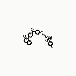 Cc1ccc(S(=O)(=O)NCCCOc2ccc(C(=O)N3CCC(N4C(=O)CCc5ccccc54)CC3)cc2)cc1